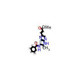 COC(=O)/C=C/c1cnc(N[C@H](C)CNC(=O)C2CCCCC2)cn1